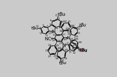 CC(C)(C)c1ccc2c(c1)c1cc(C(C)(C)C)ccc1n2-c1c(C#N)c(-c2ccccc2)c(-n2c3ccc(C(C)(C)C)cc3c3cc(C(C)(C)C)ccc32)c(-n2c3ccc(C(C)(C)C)cc3c3cc(C(C)(C)C)ccc32)c1-c1ccccc1